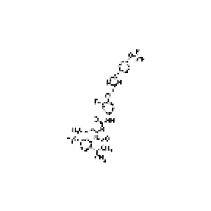 CCS/C(=N\C(=O)Nc1ccc(OCc2ncn(-c3ccc(OC(F)(F)F)cc3)n2)c(F)c1)N(C=O)c1cc(C)ccc1C(C)C